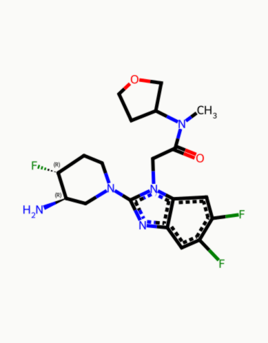 CN(C(=O)Cn1c(N2CC[C@@H](F)[C@H](N)C2)nc2cc(F)c(F)cc21)C1CCOC1